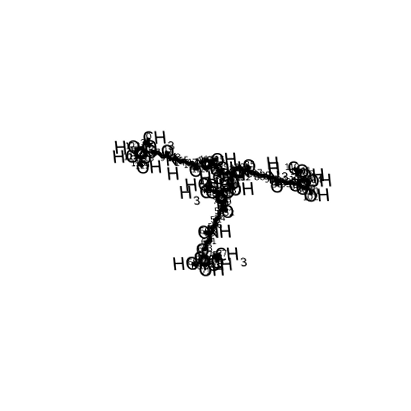 CC(=O)C[C@H]1[C@H](OCCCC(=O)NCCCCCC(=O)N2CCC(CO)(COC(O)(O)OCC3(COC(O)(O)OCC4(COC(C)(O)O)CCN(C(=O)CCCCCNC(=O)CCCO[C@@H]5O[C@H](CO)[C@H](O)[C@H](O)[C@H]5CC(C)=O)CC4)CCN(C(=O)CCCCCNC(=O)CCCO[C@@H]4O[C@H](CO)[C@H](O)[C@H](O)[C@H]4CC(C)=O)CC3)CC2)O[C@H](CO)[C@H](O)[C@@H]1O